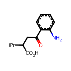 CC(C)C(CC(=O)c1ccccc1N)C(=O)O